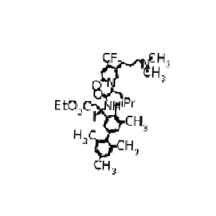 CCOC(=O)CC(I)(NC(=O)C(CC(C)C)n1cc(CCCN(C)C)c(C(F)(F)F)cc1=O)c1cc(-c2c(C)cc(C)cc2C)cc(C)c1F